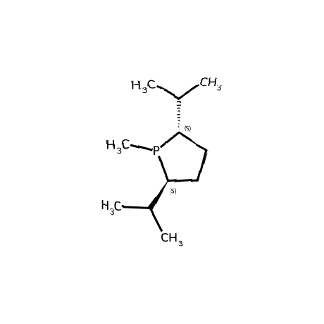 CC(C)[C@@H]1CC[C@@H](C(C)C)P1C